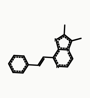 Cc1nc2c(C=Cc3ccccc3)nccn2c1C